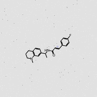 CC(NC(=O)/C=C/c1ccc(F)cc1)c1ccc2c(c1)N(C)CCC2